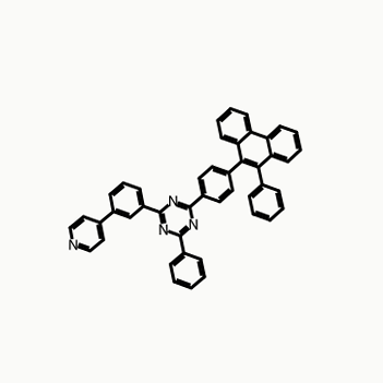 c1ccc(-c2nc(-c3ccc(-c4c(-c5ccccc5)c5ccccc5c5ccccc45)cc3)nc(-c3cccc(-c4ccncc4)c3)n2)cc1